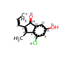 C/C=C\C1=C(C)c2c(Cl)cc(O)cc2C1=O